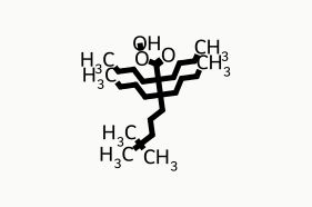 CCCCC(CCCC)(CCCC(C)(C)C)C(CCCC)(CCCC)C(=O)OO